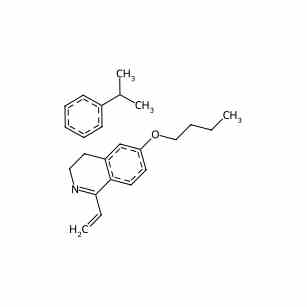 C=CC1=NCCc2cc(OCCCC)ccc21.CC(C)c1ccccc1